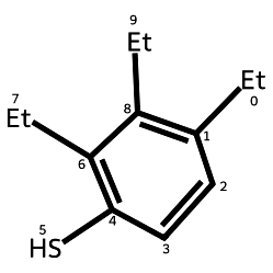 CCc1ccc(S)c(CC)c1CC